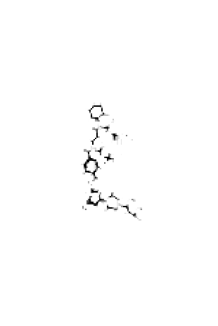 CC(C)(C)OC(=O)N(CCCN(C(=O)OC(C)(C)C)C1CCCCC1)Cc1ccc(CNc2nc(N)cc(N3CCN(C(=O)CC(=O)O)CC3)n2)cc1